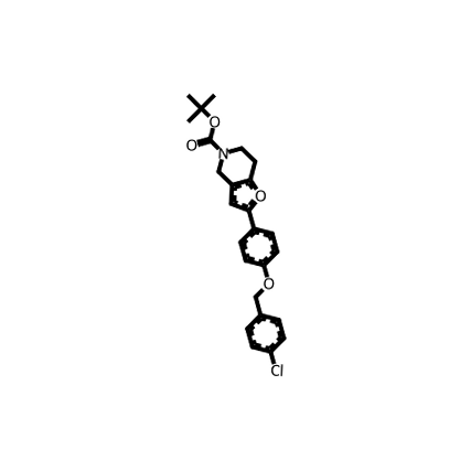 CC(C)(C)OC(=O)N1CCc2oc(-c3ccc(OCc4ccc(Cl)cc4)cc3)cc2C1